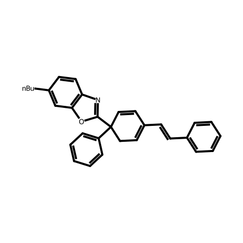 CCCCc1ccc2nc(C3(c4ccccc4)C=CC(C=Cc4ccccc4)=CC3)oc2c1